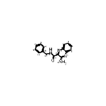 Nc1nc2ccccc2nc1C(=O)NCc1ccccc1